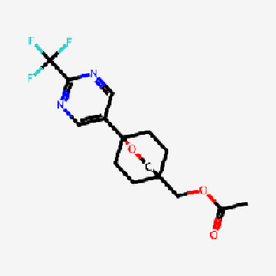 CC(=O)OCC12CCC(c3cnc(C(F)(F)F)nc3)(CC1)OC2